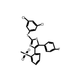 CS(=O)(=O)c1ccccc1-c1nc(Sc2cc(Cl)cc(Cl)c2)sc1-c1ccc(F)cc1